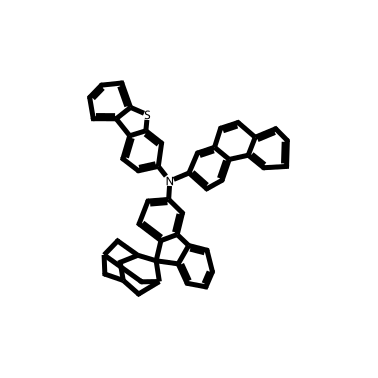 c1ccc2c(c1)-c1cc(N(c3ccc4c(ccc5ccccc54)c3)c3ccc4c(c3)sc3ccccc34)ccc1C21C2CC3CC(C2)CC1C3